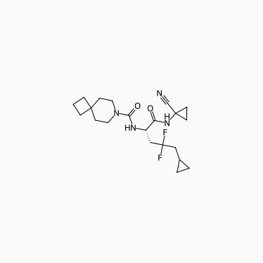 N#CC1(NC(=O)[C@H](CC(F)(F)CC2CC2)NC(=O)N2CCC3(CCC3)CC2)CC1